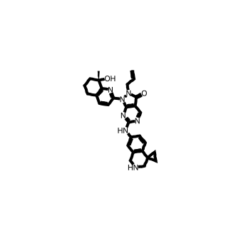 C=CCn1c(=O)c2cnc(Nc3ccc4c(c3)CNCC43CC3)nc2n1-c1ccc2c(n1)[C@@](C)(O)CCC2